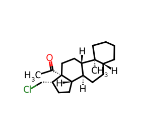 CC(=O)[C@]12CC[C@H]3[C@@H](CC[C@H]4CCCC[C@@]43C)[C@@H]1CC[C@@H]2CCl